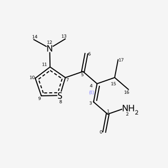 C=C(N)/C=C(/C(=C)c1sccc1N(C)C)C(C)C